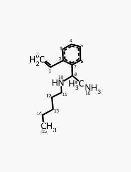 C=Cc1ccccc1C(C)NCCCCC.N